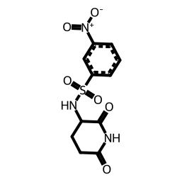 O=C1CCC(NS(=O)(=O)c2cccc([N+](=O)[O-])c2)C(=O)N1